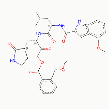 COCc1ccccc1C(=O)OCC(=O)[C@H](C[C@@H]1CCNC1=O)NC(=O)[C@H](CC(C)C)NC(=O)c1cc2c(OC)cccc2[nH]1